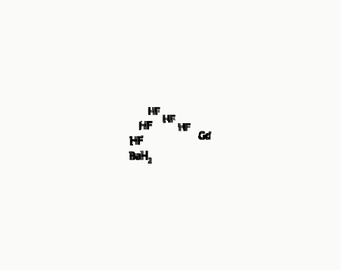 F.F.F.F.F.[BaH2].[Gd]